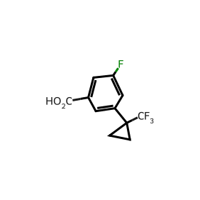 O=C(O)c1cc(F)cc(C2(C(F)(F)F)CC2)c1